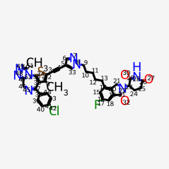 Cc1c(C#Cc2cnn(CCCCCc3cc(F)cc4c3CN(C3CCC(=O)NC3=O)C4=O)c2)sc2c1C(c1ccc(Cl)cc1)=NCc1nnc(C)n1-2